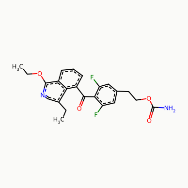 CCOc1ncc(CC)c2c(C(=O)c3c(F)cc(CCOC(N)=O)cc3F)cccc12